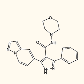 O=C(NN1CCOCC1)c1c(-c2ccccc2)n[nH]c1-c1ccn2nccc2c1